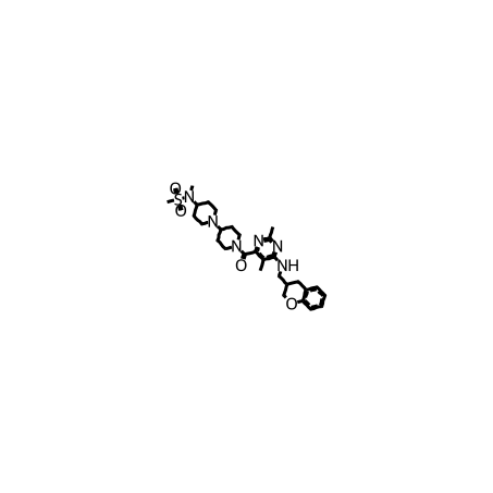 Cc1nc(NCC2COc3ccccc3C2)c(C)c(C(=O)N2CCC(N3CCC(N(C)S(C)(=O)=O)CC3)CC2)n1